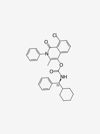 Cc1c(OC(=O)N[C@H](c2ccccc2)C2CCCCC2)c2cccc(Cl)c2c(=O)n1-c1ccccc1